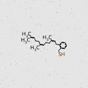 CC(C)=CCCC(C)=CCCC(C)=CCc1ccccc1CS